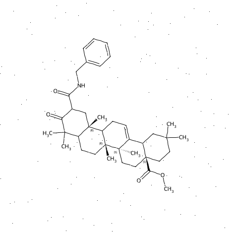 COC(=O)[C@]12CCC(C)(C)CC1C1=CCC3[C@@]4(C)CC(C(=O)NCc5ccccc5)C(=O)C(C)(C)C4CC[C@@]3(C)[C@]1(C)CC2